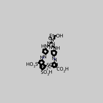 CCON(CCO)c1nc(Nc2ccc(/N=N/c3cc(C(=O)O)cc(C(=O)O)c3)cc2)nc(Nc2ccc(/N=N/c3cc(S(=O)(=O)O)c4cc(S(=O)(=O)O)cc(S(=O)(=O)O)c4c3)cc2)n1